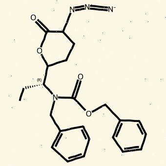 CC[C@H](C1CCC(N=[N+]=[N-])C(=O)O1)N(Cc1ccccc1)C(=O)OCc1ccccc1